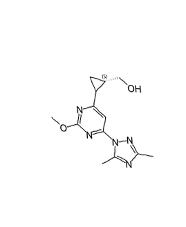 COc1nc(C2C[C@@H]2CO)cc(-n2nc(C)nc2C)n1